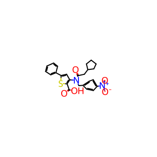 O=C(O)c1sc(-c2ccccc2)cc1N(Cc1ccc([N+](=O)[O-])cc1)C(=O)CC1CCCC1